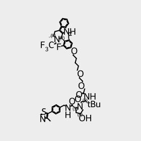 Cc1ncsc1-c1ccc(CNC(=O)[C@@H]2C[C@@H](O)CN2C(=O)[C@@H](NC(=O)COCCOCCCCCOc2cc(F)c([C@@H]3c4[nH]c5ccccc5c4C[C@@H](C)N3CC(F)(F)F)c(F)c2)C(C)(C)C)cc1